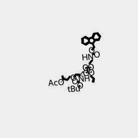 C=CCOP(=O)(OCCNC(=O)OCC1c2ccccc2-c2ccccc21)OC[C@@H](COCC[C@@H](C)OC(C)=O)NC(=O)OC(C)(C)C